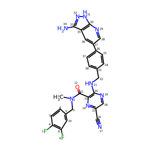 CN(Cc1ccc(F)c(F)c1)C(=O)c1nc(C#N)cnc1NCc1ccc(-c2cnc3[nH]nc(N)c3c2)cc1